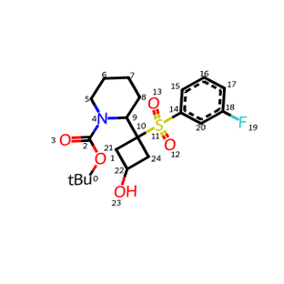 CC(C)(C)OC(=O)N1CCCCC1C1(S(=O)(=O)c2cccc(F)c2)CC(O)C1